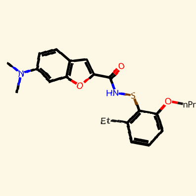 CCCOc1cccc(CC)c1SNC(=O)c1cc2ccc(N(C)C)cc2o1